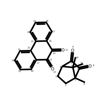 CC12CCC(C(=O)C1=O)C2(C)C.O=C1C(=O)c2ccccc2-c2ccccc21